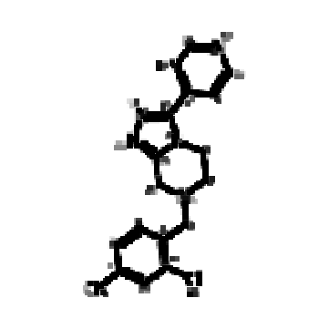 Clc1ccc(CN2CCn3c(nnc3-c3ccncn3)C2)c(Cl)c1